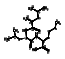 CCCC[C@H](NC(=O)[C@H](CC(C)C)NC(=O)[C@@H](N)CC(C)C)C(=O)O